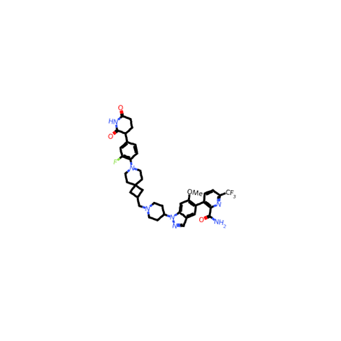 COc1cc2c(cnn2C2CCN(CC3CC4(CCN(c5ccc(C6CCC(=O)NC6=O)cc5F)CC4)C3)CC2)cc1-c1ccc(C(F)(F)F)nc1C(N)=O